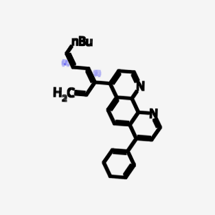 C=C/C(=C\C=C/CCCC)C1=CC=NC2C1=CC=C1C(C3=CCCC=C3)=CC=NC12